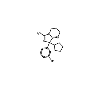 NC1=NC(c2cccc(Br)c2)(C2CCCC2)C2=NCCCN12